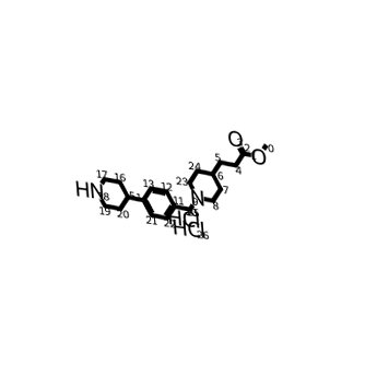 COC(=O)CCC1CCN(Cc2ccc(C3CCNCC3)cc2)CC1.Cl.Cl